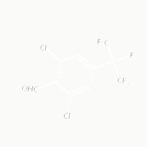 O=Cc1c(Cl)cc(C(F)(C(F)(F)F)C(F)(F)F)cc1Cl